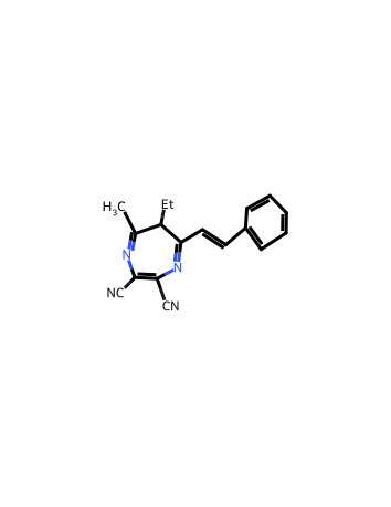 CCC1C(C)=NC(C#N)=C(C#N)N=C1/C=C/c1ccccc1